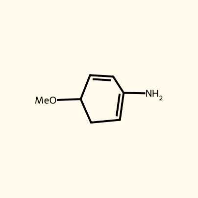 COC1C=CC(N)=CC1